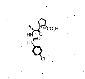 CC(C)C(NC(=O)Nc1ccc(Cl)cc1)C(=O)N1CCC[C@H]1C(=O)O